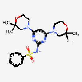 CC1(C)CN(c2cc(N3CCOC(C)(C)C3)nc(NS(=O)(=O)c3ccccc3)n2)CCO1